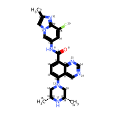 Cc1cn2cc(NC(=O)c3ccc(N4C[C@@H](C)N[C@@H](C)C4)c4cncnc34)cc(F)c2n1